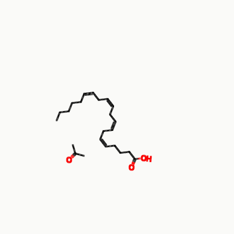 CC(C)=O.CCCCC/C=C\C/C=C\C/C=C\C/C=C\CCCC(=O)O